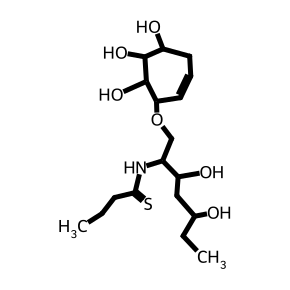 CCCC(=S)NC(COC1C=CCC(O)C(O)C1O)C(O)CC(O)CC